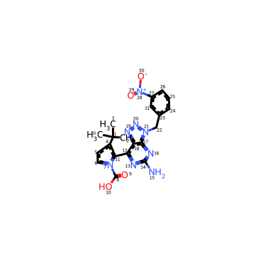 CC(C)(C)c1ccn(C(=O)O)c1-c1nc(N)nc2c1nnn2Cc1cccc([N+](=O)[O-])c1